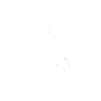 CN(C(=O)CCSc1nnnn1C1CCCCC1)C1CCCCC1